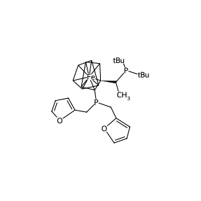 CC(P(C(C)(C)C)C(C)(C)C)[C@@]12[CH]3[CH]4[CH]5[C]1(P(Cc1ccco1)Cc1ccco1)[Fe]45321678[CH]2[CH]1[CH]6[CH]7[CH]28